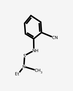 CCN(C)SNc1ccccc1C#N